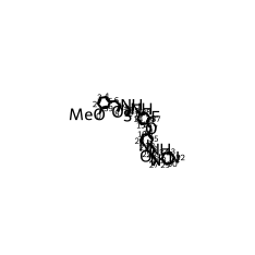 COc1cccc(CC(=O)NC(=S)Nc2ccc(Oc3ccnc(NC(=O)N(C)C4CCN(C)CC4)c3)c(F)c2)c1